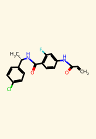 C=CC(=O)Nc1ccc(C(=O)N[C@@H](C)c2ccc(Cl)cc2)c(F)c1